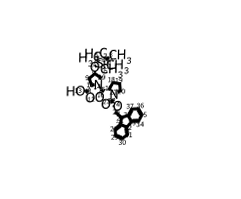 CC(C)(C)[Si](C)(C)O[C@@H]1C[C@@H](C(=O)O)N(C(=O)[C@@H]2CCCN2C(=O)OCC2c3ccccc3-c3ccccc32)C1